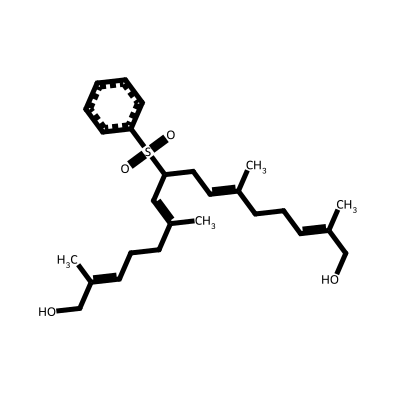 C/C(=C\CC/C(C)=C/CC(/C=C(\C)CC/C=C(\C)CO)S(=O)(=O)c1ccccc1)CO